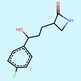 O=C1NCC1CCC(O)c1ccc(F)cc1